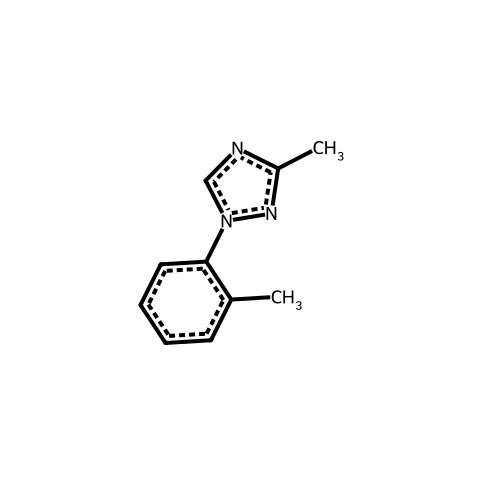 Cc1ncn(-c2ccccc2C)n1